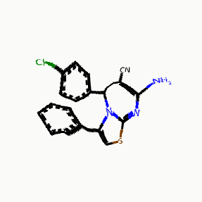 N#CC1=C(N)N=C2SC=C(c3ccccc3)N2C1c1ccc(Cl)cc1